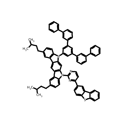 CC(C)CCc1ccc2c(c1)c1cc3c4cc(CCC(C)C)ccc4n(-c4nccc(-c5ccc6sc7ccccc7c6c5)n4)c3cc1n2-c1cc(-c2cccc(-c3ccccc3)c2)cc(-c2cccc(-c3ccccc3)c2)c1